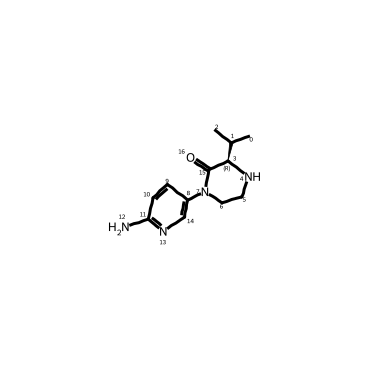 CC(C)[C@H]1NCCN(c2ccc(N)nc2)C1=O